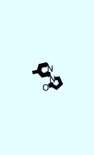 Cc1ccnc(N2CCCC2=O)c1